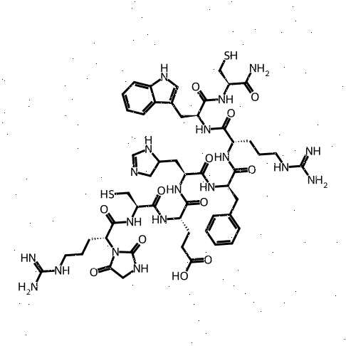 N=C(N)NCCC[C@H](NC(=O)[C@@H](Cc1ccccc1)NC(=O)[C@H](CC1CN=CN1)NC(=O)[C@H](CCC(=O)O)NC(=O)[C@H](CS)NC(=O)[C@@H](CCCNC(=N)N)N1C(=O)CNC1=O)C(=O)N[C@@H](Cc1c[nH]c2ccccc12)C(=O)N[C@@H](CS)C(N)=O